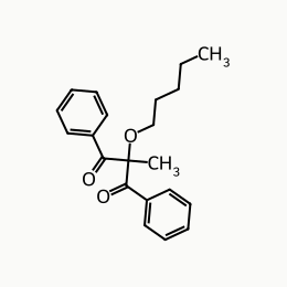 CCCCCOC(C)(C(=O)c1ccccc1)C(=O)c1ccccc1